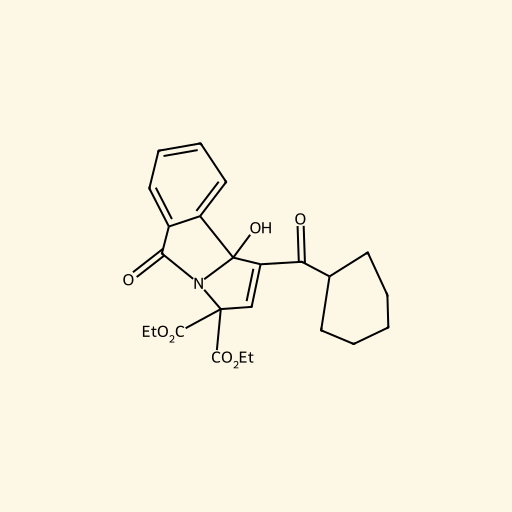 CCOC(=O)C1(C(=O)OCC)C=C(C(=O)C2CCCCC2)C2(O)c3ccccc3C(=O)N12